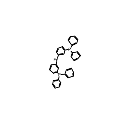 c1ccc(P(c2ccccc2)c2ccc[c]([Fe][c]3cccc(P(c4ccccc4)c4ccccc4)c3)c2)cc1